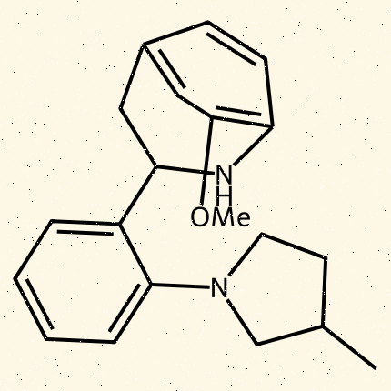 COc1cc2ccc1NC(c1ccccc1N1CCC(C)C1)C2